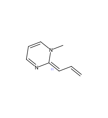 C=C/C=C1/N=CC=CN1C